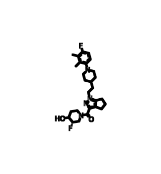 Cc1c(F)ccc(N2CCC(CCn3nc(C(=O)N4CCC(O)[C@@H](F)C4)c4c3CCC4)CC2)c1C